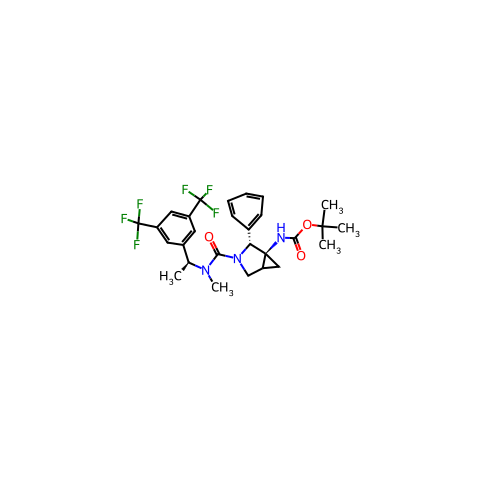 C[C@@H](c1cc(C(F)(F)F)cc(C(F)(F)F)c1)N(C)C(=O)N1CC2C[C@@]2(NC(=O)OC(C)(C)C)[C@H]1c1ccccc1